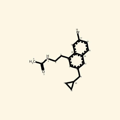 CC(=O)NCCc1cc(CC2CC2)cc2ccc(Br)cc12